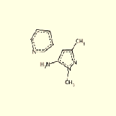 Cc1cc(N)n(C)n1.c1ccncc1